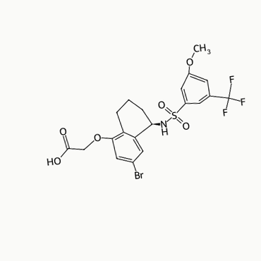 COc1cc(C(F)(F)F)cc(S(=O)(=O)N[C@@H]2CCCc3c(OCC(=O)O)cc(Br)cc32)c1